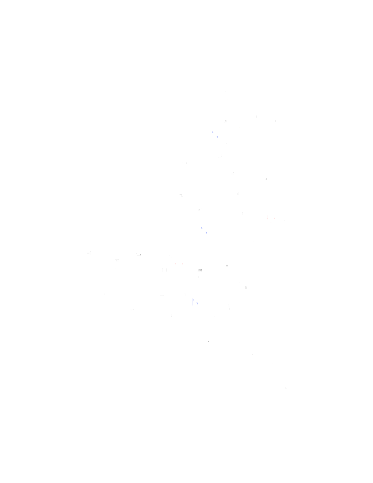 COc1ccc2c(c1)c(O)c(C1=CS(=O)(=O)c3cc(NS(C)(=O)=O)ccc3N1)c(=O)n2Cc1ccc(F)cc1